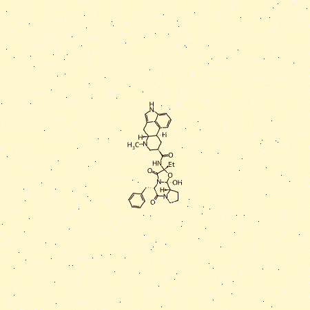 CC[C@@]1(NC(=O)[C@@H]2C[C@@H]3c4cccc5[nH]cc(c45)C[C@H]3N(C)C2)O[C@@]2(O)[C@@H]3CCCN3C(=O)[C@H](Cc3ccccc3)N2C1=O